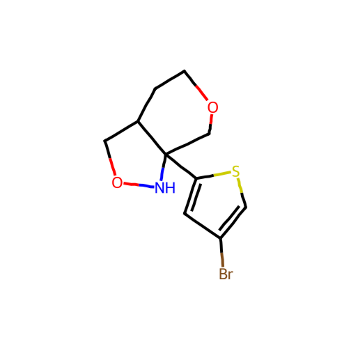 Brc1csc(C23COCCC2CON3)c1